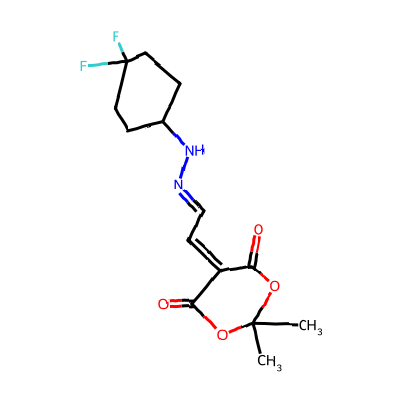 CC1(C)OC(=O)C(=CC=NNC2CCC(F)(F)CC2)C(=O)O1